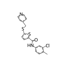 Cc1ccc(NC(=O)c2ccc(SCc3ccncc3)s2)cc1Cl